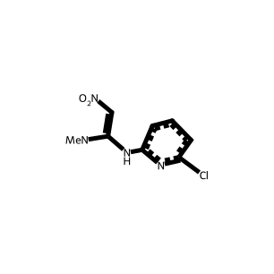 CNC(=C[N+](=O)[O-])Nc1cccc(Cl)n1